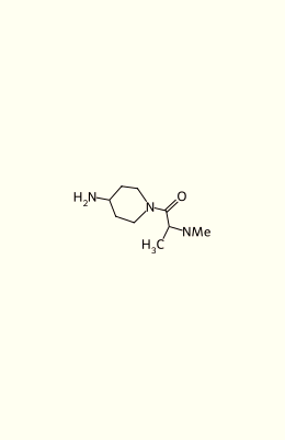 CNC(C)C(=O)N1CCC(N)CC1